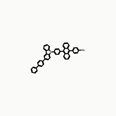 CC(C)(C)c1ccc(-c2c3ccccc3c(-c3ccc(-n4c5ccccc5c5cc(-c6ccc(-c7ccccc7)cc6)ccc54)cc3)c3ccccc23)cc1